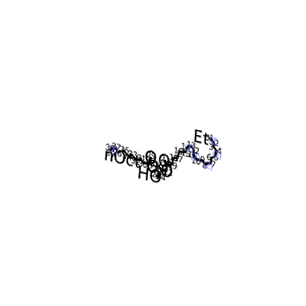 CC/C=C\C/C=C\C/C=C\C/C=C\C/C=C\CCCCCC(=O)O[C@@H](CO)COC(=O)CCCCCCC/C=C\CCCCCCCC